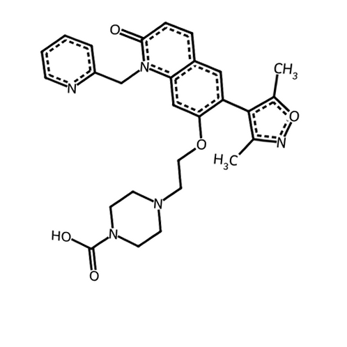 Cc1noc(C)c1-c1cc2ccc(=O)n(Cc3ccccn3)c2cc1OCCN1CCN(C(=O)O)CC1